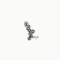 Cn1cnc(-c2nnc3c4cc(-c5ccccc5)c(-c5ccc(C6(NC(=O)O)CC7(C6)OCCO7)cc5)nc4ccn23)c1